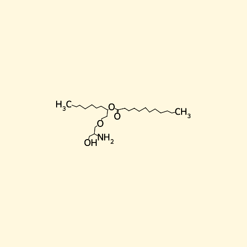 CCCCCCCCCCCC(=O)OC(CCCCCCC)CCOCC(N)CO